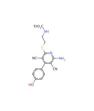 CCOC(=O)NCCSc1nc(N)c(C#N)c(-c2ccc(O)cc2)c1C#N